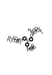 CC(C)(C)OC(=O)COc1cccc([S+](c2ccccc2)c2cccc(OCC(=O)OC(C)(C)C)c2)c1.O=S(=O)([O-])CC(F)(F)F